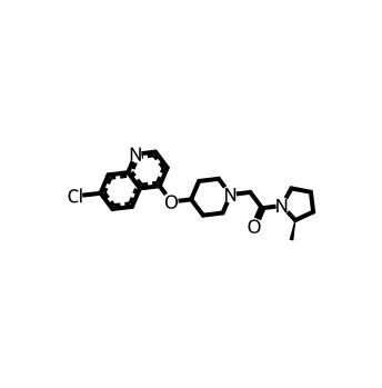 C[C@@H]1CCCN1C(=O)CN1CCC(Oc2ccnc3cc(Cl)ccc23)CC1